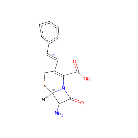 NC1C(=O)N2C(C(=O)O)=C(/C=C/c3ccccc3)CS[C@H]12